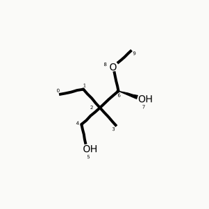 CCC(C)(CO)[C@H](O)OC